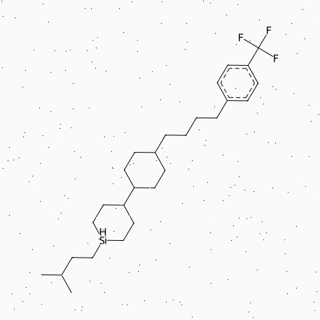 CC(C)CC[SiH]1CCC(C2CCC(CCCCc3ccc(C(F)(F)F)cc3)CC2)CC1